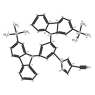 C[Si](C)(C)c1ccc2c3ccccc3n(-c3cc(-n4cc(C#N)cn4)cc(-n4c5ccccc5c5ccc([Si](C)(C)C)cc54)c3)c2c1